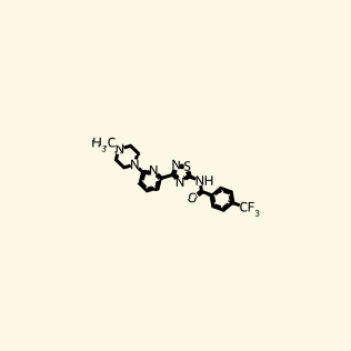 CN1CCN(c2cccc(-c3nsc(NC(=O)c4ccc(C(F)(F)F)cc4)n3)n2)CC1